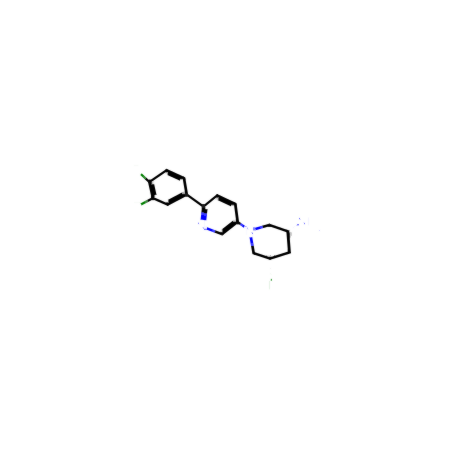 N[C@@H]1C[C@H](F)CN(c2ccc(-c3ccc(F)c(F)c3)nc2)C1